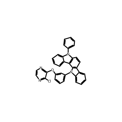 Clc1nccnc1Oc1cccc(-n2c3ccccc3c3ccc4c(c5ccccc5n4-c4ccccc4)c32)c1